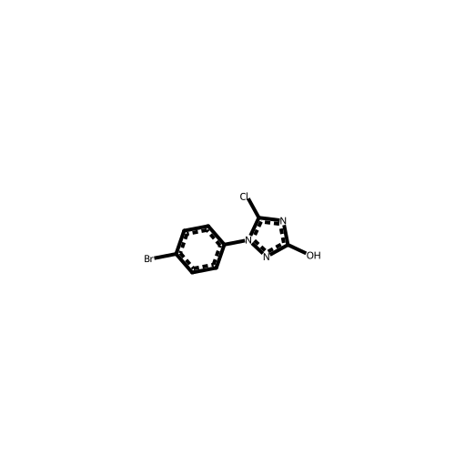 Oc1nc(Cl)n(-c2ccc(Br)cc2)n1